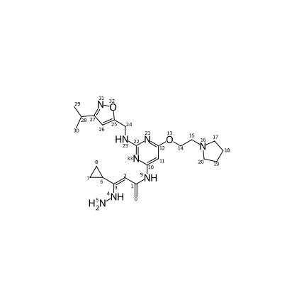 C=C(/C=C(\NN)C1CC1)Nc1cc(OCCN2CCCC2)nc(NCc2cc(C(C)C)no2)n1